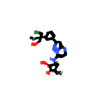 [CH2][C@@H]1C[C@@H](Nc2ccnc3cc(-c4cccc(C(C)(CO)CCl)c4)nn23)[C@H](O)[C@@H]1O